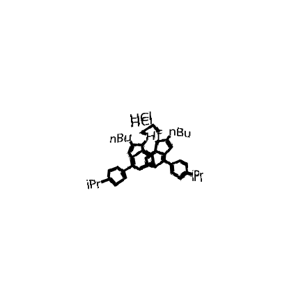 CCCCC1=Cc2c(-c3ccc(C(C)C)cc3)cccc2[CH]1[Hf]1([CH]2C(CCCC)=Cc3c(-c4ccc(C(C)C)cc4)cccc32)[CH2]C[CH2]1.Cl.Cl